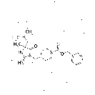 CC(C)CC1(C)NC(=N)N(CC2CCN(C(=O)OCc3ccccc3)CC2)C1=O